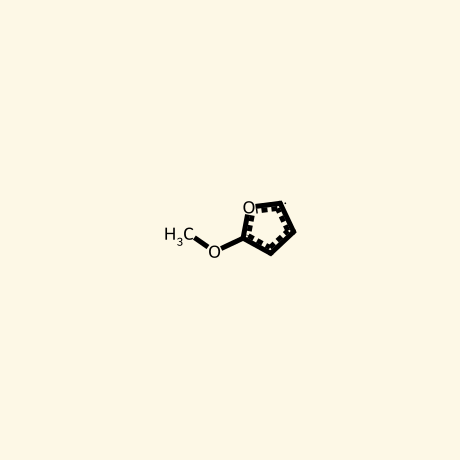 COc1cc[c]o1